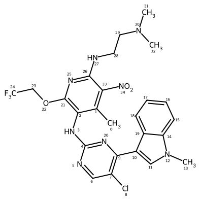 Cc1c(Nc2ncc(Cl)c(-c3cn(C)c4ccccc34)n2)c(OCC(F)(F)F)nc(NCCN(C)C)c1[N+](=O)[O-]